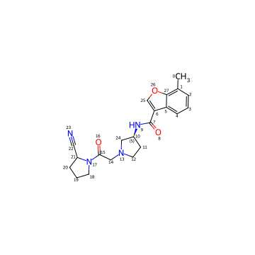 Cc1cccc2c(C(=O)N[C@H]3CCN(CC(=O)N4CCCC4C#N)C3)coc12